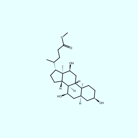 COC(=O)CCC(C)[C@H]1CC[C@H]2[C@@H]3[C@H](O)C[C@@H]4C[C@H](O)CC[C@]4(C)[C@H]3C[C@H](O)[C@]12C